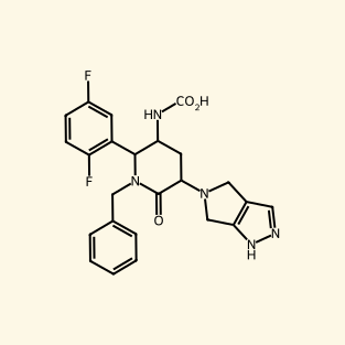 O=C(O)NC1CC(N2Cc3cn[nH]c3C2)C(=O)N(Cc2ccccc2)C1c1cc(F)ccc1F